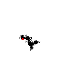 CC(N)(C(=O)NCc1ccc(Cl)c(C(=O)Nc2ccc(OCC(F)F)c(C(=O)Nc3ccc(Br)cc3)c2)c1)C(F)(F)F